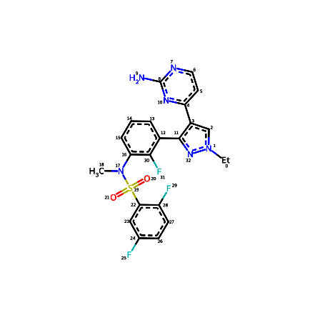 CCn1cc(-c2ccnc(N)n2)c(-c2cccc(N(C)S(=O)(=O)c3cc(F)ccc3F)c2F)n1